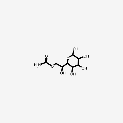 NC(=O)OCC(O)C1OC(O)C(O)C(O)C1O